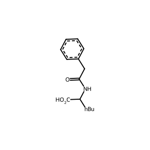 CCCCC(NC(=O)Cc1ccccc1)C(=O)O